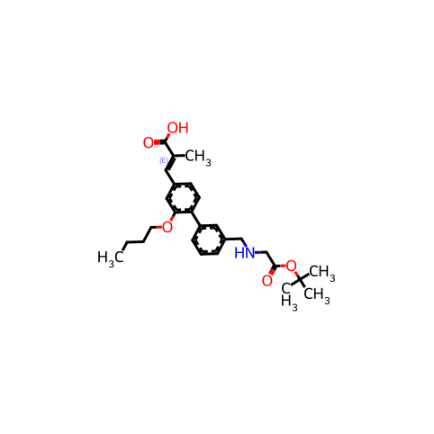 CCCCOc1cc(/C=C(\C)C(=O)O)ccc1-c1cccc(CNCC(=O)OC(C)(C)C)c1